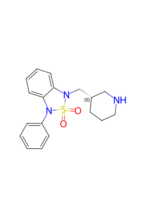 O=S1(=O)N(C[C@H]2CCCNC2)c2ccccc2N1c1ccccc1